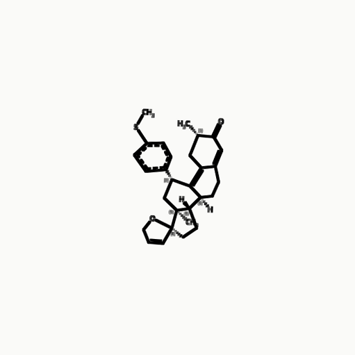 CSc1ccc([C@H]2C[C@@]3(C)[C@@H](CC[C@@]34C=CCO4)[C@@H]3CCC4=CC(=O)[C@@H](C)CC4=C32)cc1